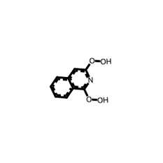 OOc1cc2ccccc2c(OO)n1